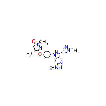 CCNc1cc2c(cn1)c(-c1cnn(C)c1)nn2[C@H]1CC[C@@H](Oc2nn(C)c(=O)cc2C(F)(F)F)CC1